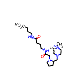 C[14N]1CCN(CC2CCCN2CC(=O)NCCCC(=O)NCCCC(=O)O)C[12CH2]1